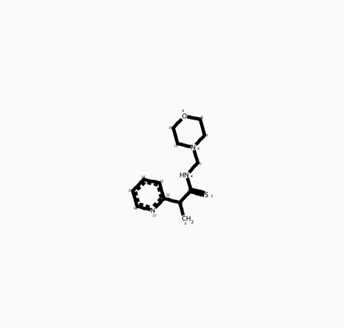 CC(C(=S)NCN1CCOCC1)c1ccccn1